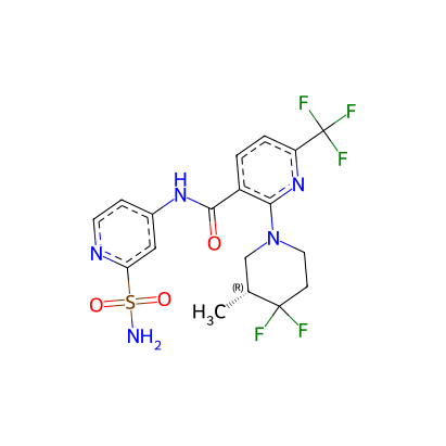 C[C@@H]1CN(c2nc(C(F)(F)F)ccc2C(=O)Nc2ccnc(S(N)(=O)=O)c2)CCC1(F)F